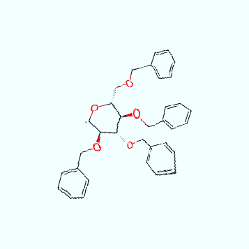 [CH]1O[C@H](COCc2ccccc2)[C@@H](OCc2ccccc2)[C@H](OCc2ccccc2)[C@H]1OCc1ccccc1